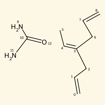 C=CCC(=CC)CC=C.NC(N)=O